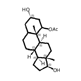 CC(=O)OC1C[C@@H](O)CC2CC[C@@H]3[C@H](CC[C@]4(C)[C@@H](O)CC[C@@H]34)[C@]21C